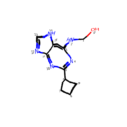 OCNc1nc(C2CCC2)nc2nc[nH]c12